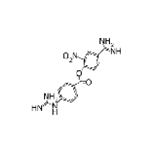 N=C(N)Nc1ccc(C(=O)Oc2ccc(C(=N)N)cc2[N+](=O)[O-])cc1